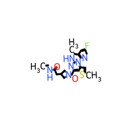 CCNC(=O)CC1CN(C(=O)c2nc(N[C@@H](C)c3cncc(F)c3)nc3cc(C)sc23)C1